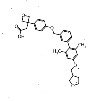 Cc1cc(OCC2CCOC2)cc(C)c1-c1cccc(COc2ccc(C3(CC(=O)O)COC3)cc2)c1